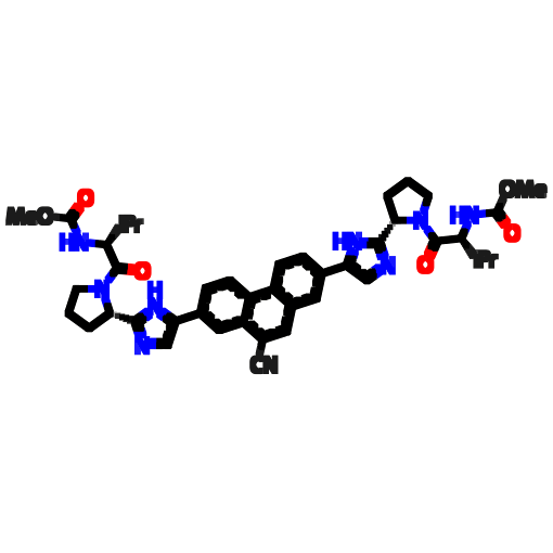 COC(=O)N[C@H](C(=O)N1CCC[C@H]1c1ncc(-c2ccc3c(c2)cc(C#N)c2cc(-c4cnc([C@@H]5CCCN5C(=O)[C@@H](NC(=O)OC)C(C)C)[nH]4)ccc23)[nH]1)C(C)C